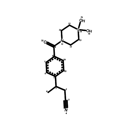 CC(CC#N)c1c[c]c(C(=O)N2CCS(O)(O)CC2)cc1